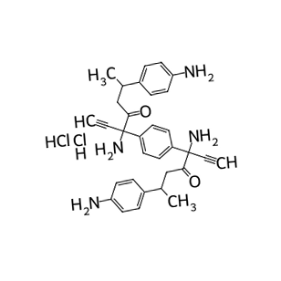 C#CC(N)(C(=O)CC(C)c1ccc(N)cc1)c1ccc(C(N)(C#C)C(=O)CC(C)c2ccc(N)cc2)cc1.Cl.Cl